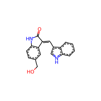 O=C1Nc2ccc(CO)cc2/C1=C\c1c[nH]c2ccccc12